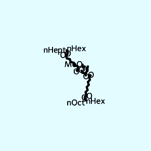 CCCCCCCCC(CCCCCC)OC(=O)CCCCCCC(=O)OC(COC(=O)CCCCCCC(=O)OC(CCCCCC)CCCCCCC)CN(C)CCOC